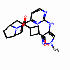 Cn1cc(Nc2nccc(C3=CC4CCC(C3)N4C(=O)C3CC(CO)C3)n2)cn1